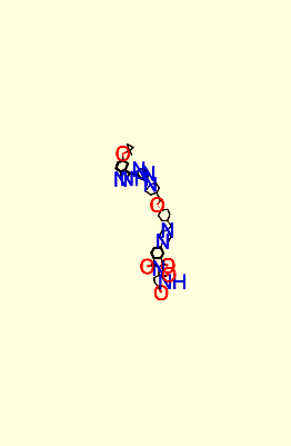 CC1(Oc2ccc3n[nH]c(-c4cc(N5CCC(CO[C@H]6CC[C@H](CN7CCN(c8ccc9c(c8)C(=O)N(C8CCC(=O)NC8=O)C9=O)CC7)CC6)CC5)ncn4)c3c2)CC1